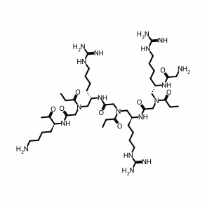 CCC(=O)N(CC(=O)N[C@@H](CCCCNC(=N)N)CN(CC(=O)N[C@@H](CCCCNC(=N)N)CN(CC(=O)N[C@@H](CCCCN)C(C)=O)C(=O)CC)C(=O)CC)C[C@H](CCCCNC(=N)N)NC(=O)CN